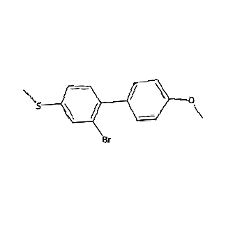 COc1ccc(-c2ccc(SC)cc2Br)cc1